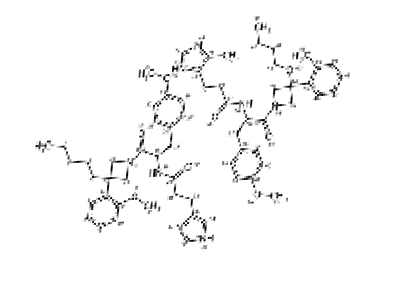 CCCCCC1(c2ccccc2OC)CN(C(=O)[C@@H](Cc2ccc(OC)cc2)NC(=O)CCc2c[nH]cn2)C1.CCCCOC1(c2ccccc2C)CN(C(=O)[C@@H](Cc2ccc(OC)cc2)NC(=O)CCc2[nH]cnc2C)C1